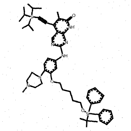 Cc1c(C#C[Si](C(C)C)(C(C)C)C(C)C)c2cnc(Nc3ccc(N4CCN(C)CC4)c(OCCCCCO[Si](c4ccccc4)(c4ccccc4)C(C)(C)C)c3)nc2[nH]c1=O